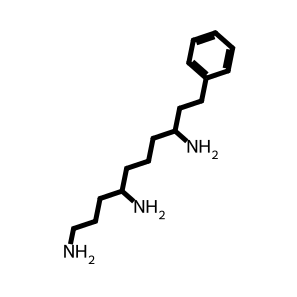 NCCCC(N)CCCC(N)CCc1ccccc1